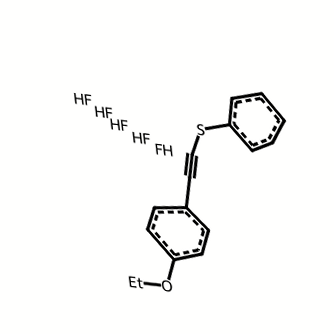 CCOc1ccc(C#CSc2ccccc2)cc1.F.F.F.F.F